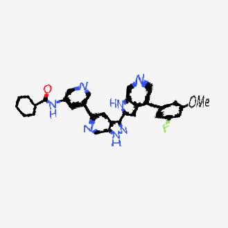 COc1cc(F)cc(-c2cncc3[nH]c(-c4n[nH]c5cnc(-c6cncc(NC(=O)C7CCCCC7)c6)cc45)cc23)c1